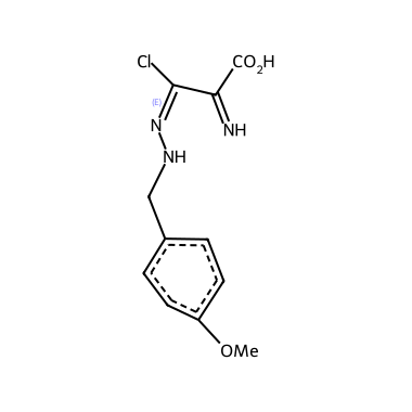 COc1ccc(CN/N=C(/Cl)C(=N)C(=O)O)cc1